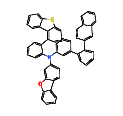 c1cc(-c2ccccc2-c2ccc3ccccc3c2)cc(N(c2ccc3c(c2)oc2ccccc23)c2ccccc2-c2cccc3sc4ccccc4c23)c1